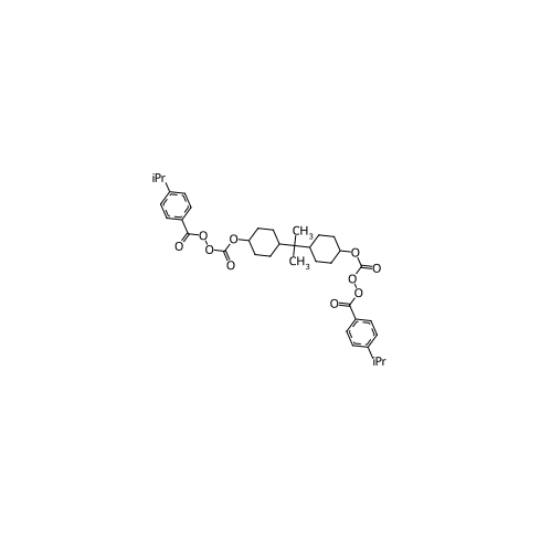 CC(C)c1ccc(C(=O)OOC(=O)OC2CCC(C(C)(C)C3CCC(OC(=O)OOC(=O)c4ccc(C(C)C)cc4)CC3)CC2)cc1